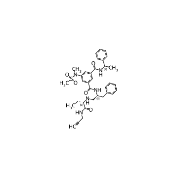 C#CCNC(=O)[C@H](CC)NC[C@H](Cc1ccccc1)NC(=O)c1cc(C(=O)N[C@H](C)c2ccccc2)cc(N(C)S(C)(=O)=O)c1